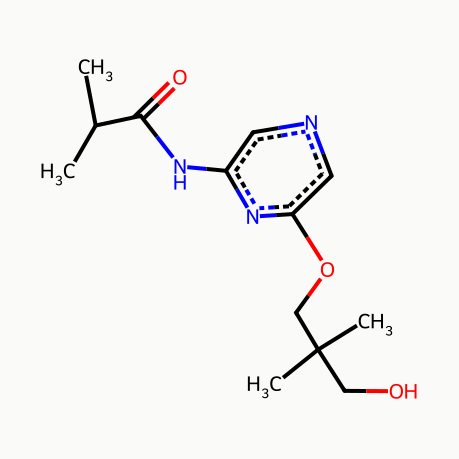 CC(C)C(=O)Nc1cncc(OCC(C)(C)CO)n1